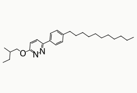 CCCCCCCCCCCc1ccc(-c2ccc(OCC(C)CC)nn2)cc1